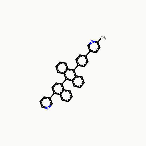 Cc1ccc(-c2ccc(-c3c4ccccc4c(-c4ccc(-c5cccnc5)c5ccccc45)c4ccccc34)cc2)cn1